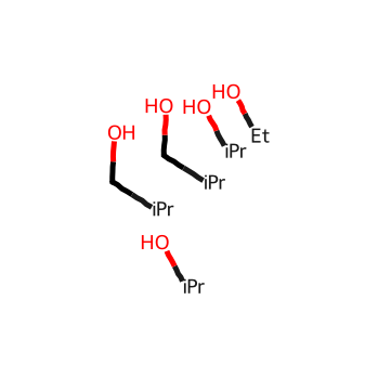 CC(C)CO.CC(C)CO.CC(C)O.CC(C)O.CCO